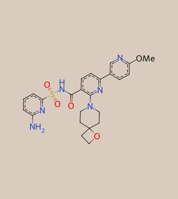 COc1ccc(-c2ccc(C(=O)NS(=O)(=O)c3cccc(N)n3)c(N3CCC4(CCO4)CC3)n2)cn1